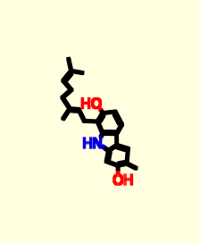 CC(C)=CCC/C(C)=C/Cc1c(O)ccc2c1[nH]c1cc(O)c(C)cc12